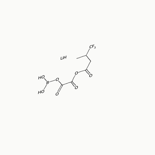 CC(CC(=O)OC(=O)C(=O)OB(O)O)C(F)(F)F.[LiH]